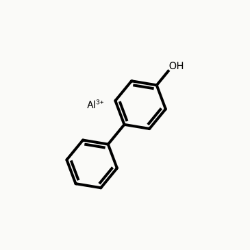 Oc1ccc(-c2ccccc2)cc1.[Al+3]